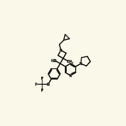 CC1(C(O)(c2ccc(OC(F)(F)F)cc2)c2cncc(N3CCCC3)c2)CN(CC2CC2)C1